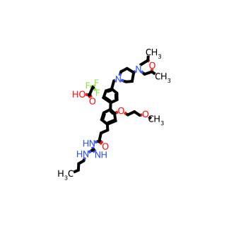 CCCCNC(=N)NC(=O)CCc1ccc(-c2ccc(CN3CCC(N4CC(C)OC(C)C4)CC3)cc2)c(OCCCOC)c1.O=C(O)C(F)(F)F